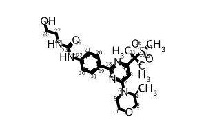 C[C@H]1COCCN1c1cc(C(C)(C)S(C)(=O)=O)nc(-c2ccc(NC(=O)NCCO)cc2)n1